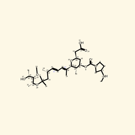 CNC1CCN(C(=O)O[C@@H]2C[C@H](CC(=O)O)O[C@H](/C(C)=C/C=C/[C@@H](C)CC(C)(C)O[C@H](C)[C@@H](OC)[C@@H](C)O)[C@H]2C)C1